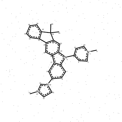 C[n+]1ccc(-n2c3ccc(-n4cc[n+](C)c4)cc3c3cc4c(cc32)C(C)(C)c2ccccc2-4)cc1